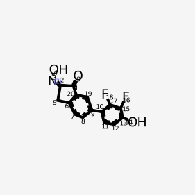 O=C1/C(=N\O)Cc2ccc(-c3ccc(O)c(F)c3F)cc21